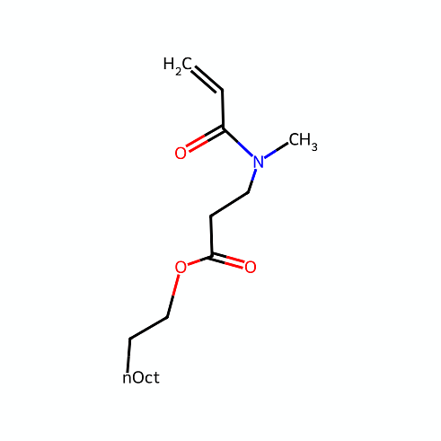 C=CC(=O)N(C)CCC(=O)OCCCCCCCCCC